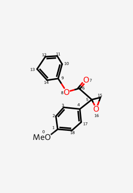 COc1ccc(C2(C(=O)Oc3ccccc3)CO2)cc1